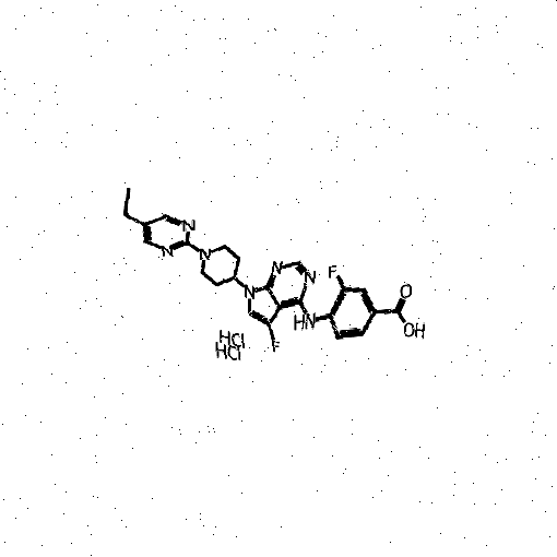 CCc1cnc(N2CCC(n3cc(F)c4c(Nc5ccc(C(=O)O)cc5F)ncnc43)CC2)nc1.Cl.Cl